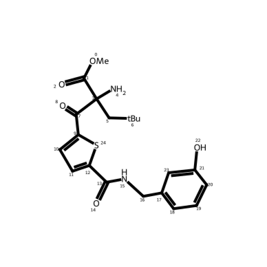 COC(=O)C(N)(CC(C)(C)C)C(=O)c1ccc(C(=O)NCc2cccc(O)c2)s1